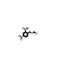 O=[C]OCc1ccc([N+](=O)[O-])cc1[N+](=O)[O-]